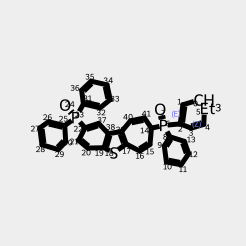 C/C=C(\C=C/CC)P(=O)(c1ccccc1)C1C=Cc2sc3ccc(P(=O)(c4ccccc4)c4ccccc4)cc3c2C=C1